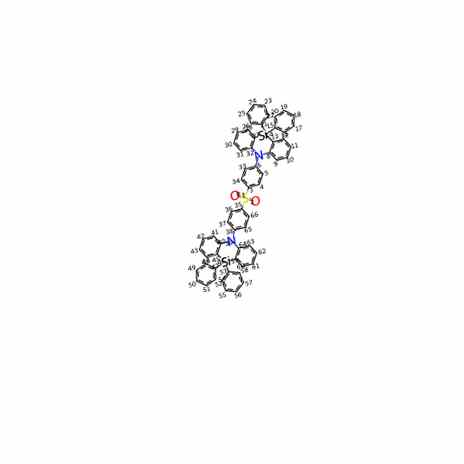 O=S(=O)(c1ccc(N2c3ccccc3[Si](c3ccccc3)(c3ccccc3)c3ccccc32)cc1)c1ccc(N2c3ccccc3[Si](c3ccccc3)(c3ccccc3)c3ccccc32)cc1